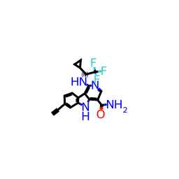 C#Cc1ccc2c(c1)[nH]c1c(C(N)=O)cnc(N[C@H](C3CC3)C(F)(F)F)c12